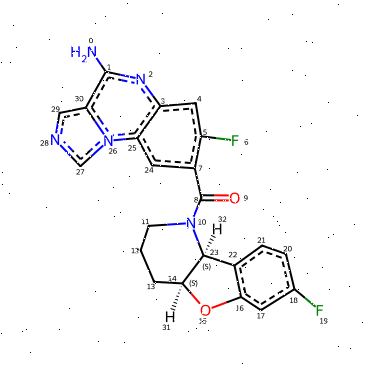 Nc1nc2cc(F)c(C(=O)N3CCC[C@@H]4Oc5cc(F)ccc5[C@@H]43)cc2n2cncc12